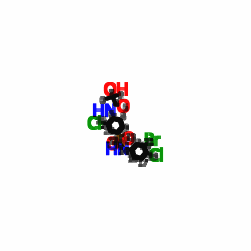 CC(C)(O)C(=O)Nc1ccc(S(=O)(=O)Nc2ccc(Cl)c(Br)c2)cc1Cl